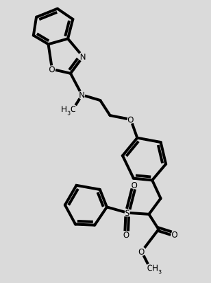 COC(=O)C(Cc1ccc(OCCN(C)c2nc3ccccc3o2)cc1)S(=O)(=O)c1ccccc1